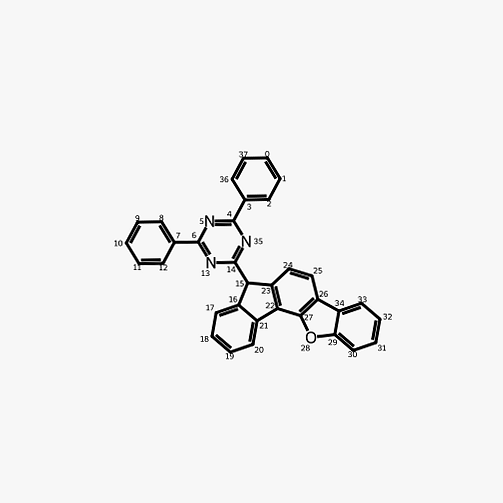 c1ccc(-c2nc(-c3ccccc3)nc(C3c4ccccc4-c4c3ccc3c4oc4ccccc43)n2)cc1